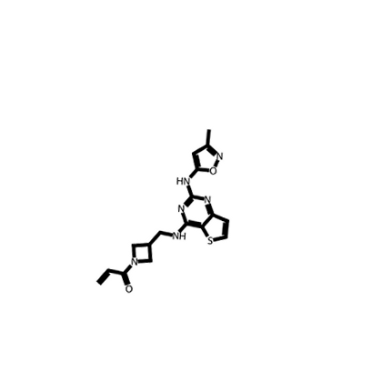 C=CC(=O)N1CC(CNc2nc(Nc3cc(C)no3)nc3ccsc23)C1